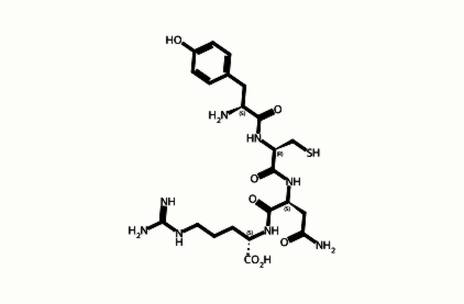 N=C(N)NCCC[C@H](NC(=O)[C@H](CC(N)=O)NC(=O)[C@H](CS)NC(=O)[C@@H](N)Cc1ccc(O)cc1)C(=O)O